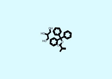 C=C(C)C(=O)OC(c1ccccc1)(c1ccccc1)c1ccccc1.OCC(O)CO